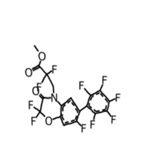 COC(=O)C(F)(F)CN1C(=O)C(F)(F)Oc2cc(F)c(-c3c(F)c(F)c(F)c(F)c3F)cc21